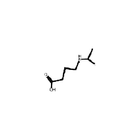 CC(I)NCCCC(=O)O